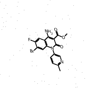 COC(=O)c1c(N)c2cc(F)c(Br)cc2n(-c2ccc(C)nc2)c1=O